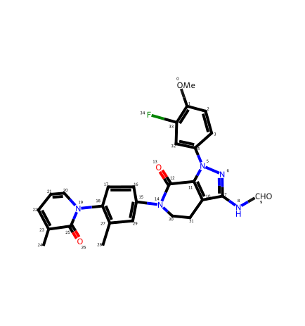 COc1ccc(-n2nc(NC=O)c3c2C(=O)N(c2ccc(-n4cccc(C)c4=O)c(C)c2)CC3)cc1F